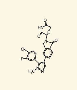 Cn1ncc(-c2ccc3c(c2)CN(C2CCC(=O)NC2=O)C3=O)c1-c1ccc(Cl)c(F)c1